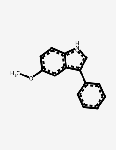 COc1ccc2[nH]cc(-c3ccccc3)c2c1